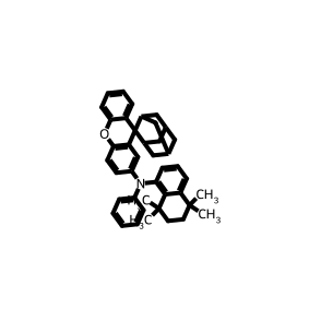 CC1(C)CCC(C)(C)c2c(N(c3ccccc3)c3ccc4c(c3)C3(c5ccccc5O4)C4CC5CC(C4)CC3C5)cccc21